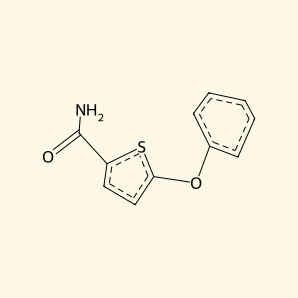 NC(=O)c1ccc(Oc2ccccc2)s1